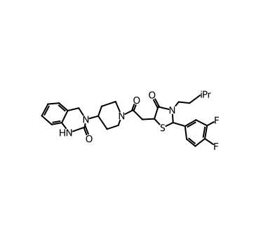 CC(C)CCN1C(=O)C(CC(=O)N2CCC(N3Cc4ccccc4NC3=O)CC2)SC1c1ccc(F)c(F)c1